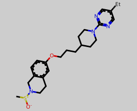 CCc1cnc(N2CCC(CCCOc3ccc4c(c3)CCN([S+](C)[O-])C4)CC2)nc1